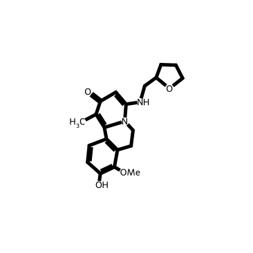 COc1c(O)ccc2c1CCn1c(NCC3CCCO3)cc(=O)c(C)c1-2